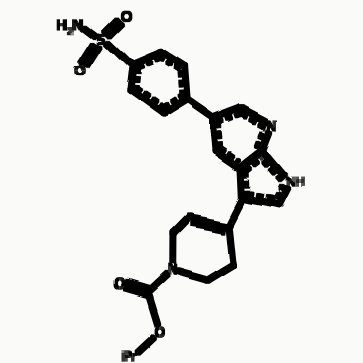 CC(C)OC(=O)N1CC=C(c2c[nH]c3ncc(-c4ccc(S(N)(=O)=O)cc4)cc23)CC1